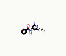 Cc1cc(NC(=O)c2ccccc2)cc(I)n1